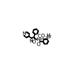 O=C(Nc1onc(-c2ccncc2)c1-c1ccccc1C(=O)O)c1cccc(Br)c1